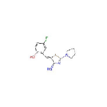 N=C1N=C(N2CCCC2)S/C1=C\c1cc(F)ccc1O